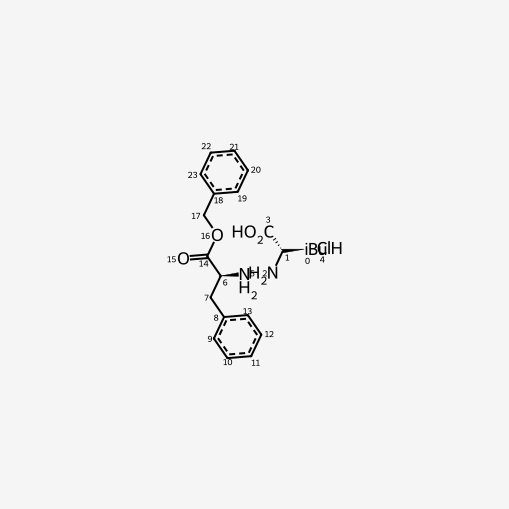 CC[C@H](C)[C@H](N)C(=O)O.Cl.N[C@@H](Cc1ccccc1)C(=O)OCc1ccccc1